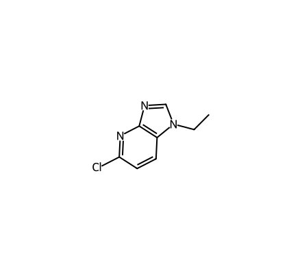 CCn1cnc2nc(Cl)ccc21